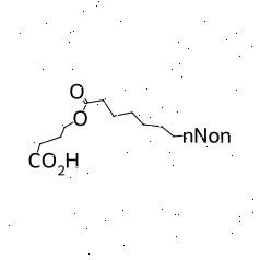 CCCCCCCCCCCCCCCC(=O)OCCCC(=O)O